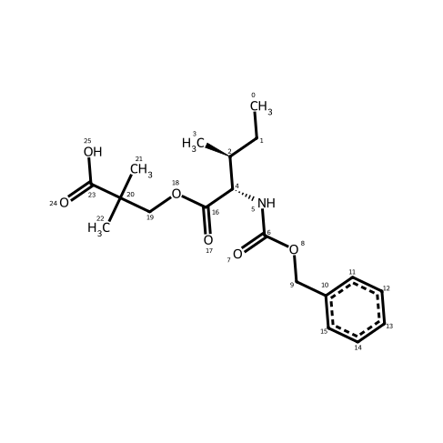 CC[C@H](C)[C@H](NC(=O)OCc1ccccc1)C(=O)OCC(C)(C)C(=O)O